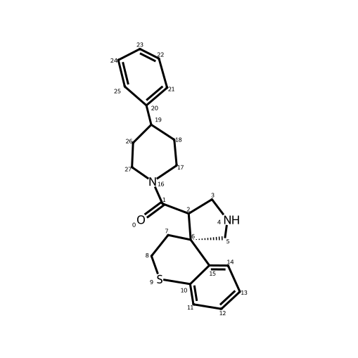 O=C(C1CNC[C@]12CCSc1ccccc12)N1CCC(c2ccccc2)CC1